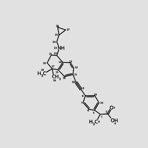 CC(C(=O)O)c1ccc(C#Cc2ccc3c(c2)C(C)(C)CCC3NCC2CC2)cc1